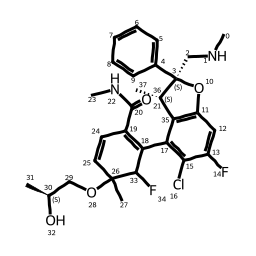 CNC[C@]1(c2ccccc2)Oc2cc(F)c(Cl)c(C3=C(C(=O)NC)C=CC(C)(OC[C@H](C)O)C3F)c2[C@@H]1C